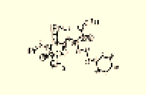 CC(C)C[C@@H](C(=O)NN(CC(C)C)S(C)(=O)=O)[C@H](CCCC1CCCCC1)C(=O)OC(C)(C)C